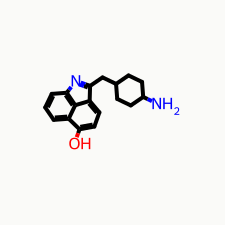 NC1CCC(CC2=Nc3cccc4c(O)ccc2c34)CC1